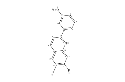 COc1cccc(-c2ccc3cc(F)c(F)cc3n2)c1